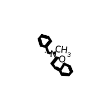 CN([CH]c1ccccc1)C1=CC=C2C=CC=CC2O1